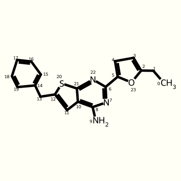 CCc1ccc(-c2nc(N)c3cc(Cc4ccccc4)sc3n2)o1